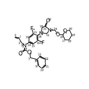 C=CCN(C(=O)OCc1ccccc1)c1cc(F)c(N2CC(=O)N(COC3CCCCO3)C2)c(F)c1